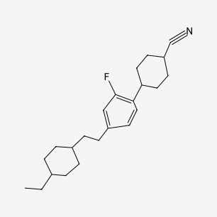 CCC1CCC(CCc2ccc(C3CCC(C#N)CC3)c(F)c2)CC1